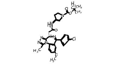 COc1ccc2c(c1)C(c1ccc(Cl)cc1)=N[C@@H](CC(=O)NC1CCN(C(=O)OC(C)(C)C)CC1)c1nnc(C)n1-2